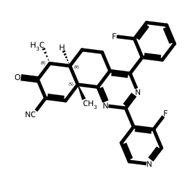 C[C@H]1C(=O)C(C#N)=C[C@@]2(C)c3nc(-c4ccncc4F)nc(-c4ccccc4F)c3CC[C@H]12